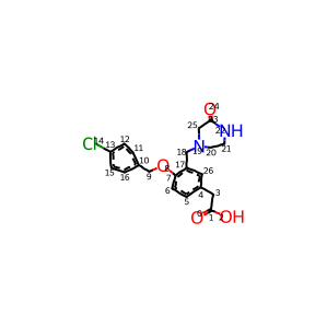 O=C(O)Cc1ccc(OCc2ccc(Cl)cc2)c(CN2CCNC(=O)C2)c1